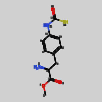 COC(=O)[C@@H](N)Cc1ccc(NC(=O)S)cc1